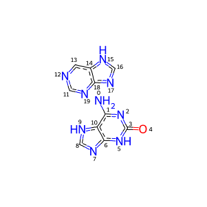 Nc1nc(=O)[nH]c2nc[nH]c12.c1ncc2[nH]cnc2n1